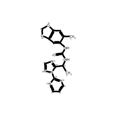 Cc1cc2c(cc1NC(=O)NC(C)c1ncnn1-c1ncccn1)OCO2